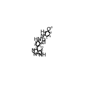 COc1cccc(NC(=O)Nc2ccc(-c3ncnc4[nH]cc(C)c34)cc2Cl)c1